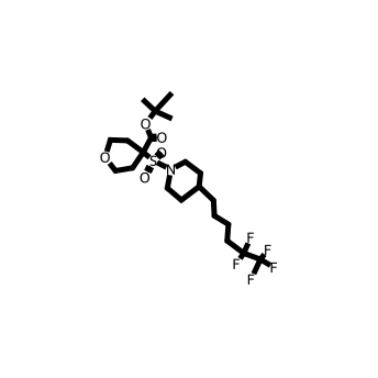 CC(C)(C)OC(=O)C1(S(=O)(=O)N2CCC(CCCCC(F)(F)C(F)(F)F)CC2)CCOCC1